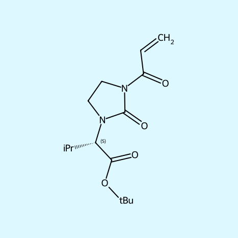 C=CC(=O)N1CCN([C@H](C(=O)OC(C)(C)C)C(C)C)C1=O